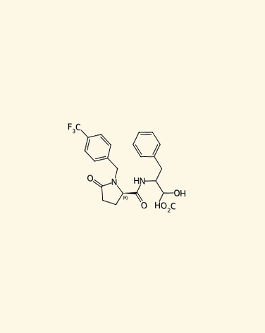 O=C(O)C(O)C(Cc1ccccc1)NC(=O)[C@H]1CCC(=O)N1Cc1ccc(C(F)(F)F)cc1